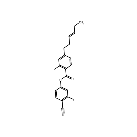 CCC=CCCc1ccc(C(=O)Oc2ccc(C#N)c(F)c2)c(F)c1